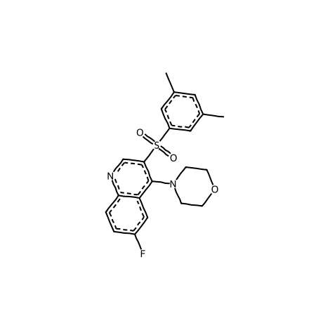 Cc1cc(C)cc(S(=O)(=O)c2cnc3ccc(F)cc3c2N2CCOCC2)c1